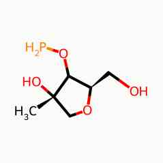 C[C@]1(O)CO[C@H](CO)C1OP